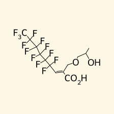 CC(O)COCC(=CC(F)(F)C(F)(F)C(F)(F)C(F)(F)C(F)(F)C(F)(F)F)C(=O)O